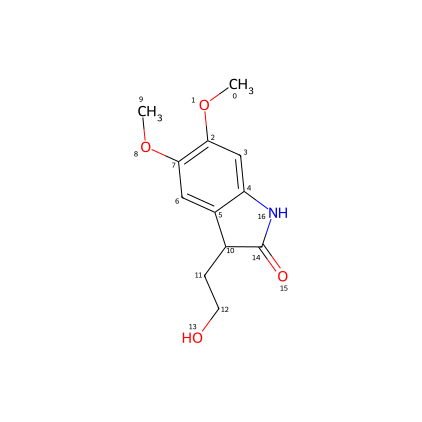 COc1cc2c(cc1OC)C(CCO)C(=O)N2